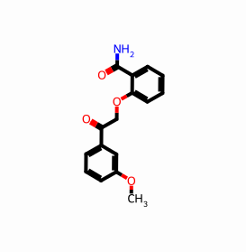 COc1cccc(C(=O)COc2ccccc2C(N)=O)c1